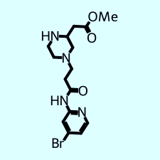 COC(=O)CC1CN(CCC(=O)Nc2cc(Br)ccn2)CCN1